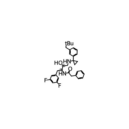 CC(C)(C)Cc1cccc(C2(NC[C@@H](O)[C@H](Cc3cc(F)cc(F)c3)NC(=O)Cc3ccccc3)CC2)c1